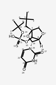 CC(C)(C)C[C@@]12CO[C@@H](C1OP(O)(=S)OC(C)(C)C)[C@H](n1ccc(=O)[nH]c1=O)O2